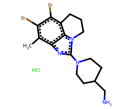 Cc1c(Br)c(Br)c2c3c1nc(N1CCC(CN)CC1)n3CCC2.Cl